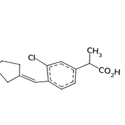 CC(C(=O)O)c1ccc(C=C2CCCC2)c(Cl)c1